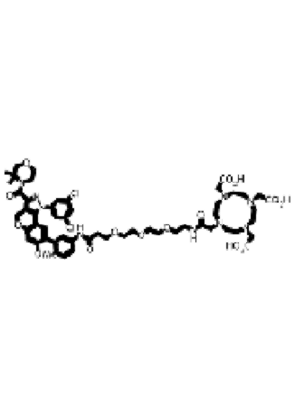 COc1cc2c(cc1-c1cccc(NC(=O)CCOCCOCCOCCNC(=O)CN3CCN(CC(=O)O)CCN(CC(=O)O)CCN(CC(=O)O)CC3)c1)-c1c(c(C(=O)N3CCOCC3(C)C)nn1-c1cc(Cl)cc(Cl)c1)CO2